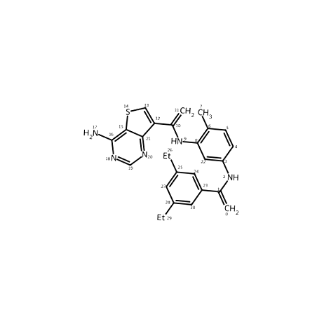 C=C(Nc1ccc(C)c(NC(=C)c2csc3c(N)ncnc23)c1)c1cc(CC)cc(CC)c1